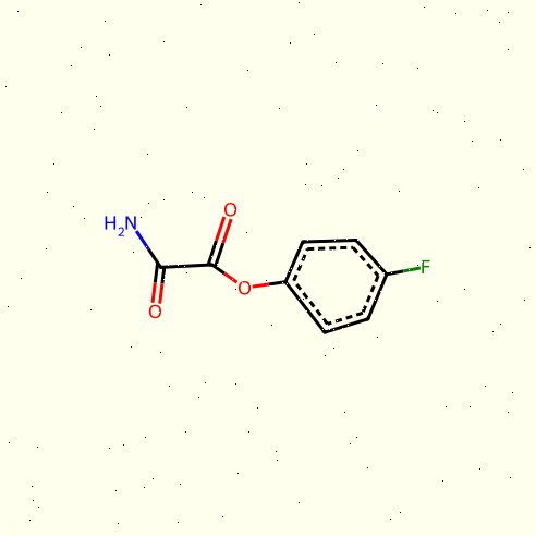 NC(=O)C(=O)Oc1ccc(F)cc1